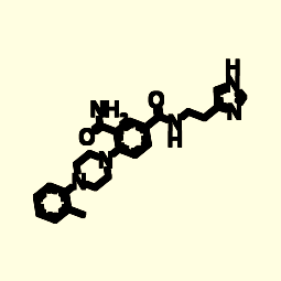 Cc1ccccc1N1CCN(c2ccc(C(=O)NCCc3c[nH]cn3)cc2C(N)=O)CC1